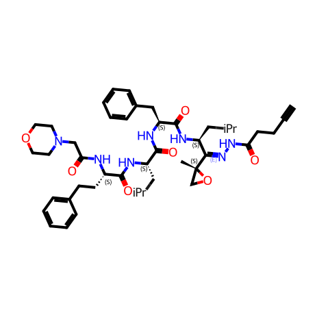 C#CCCC(=O)N/N=C(\[C@H](CC(C)C)NC(=O)[C@H](Cc1ccccc1)NC(=O)[C@H](CC(C)C)NC(=O)[C@H](CCc1ccccc1)NC(=O)CN1CCOCC1)[C@@]1(C)CO1